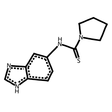 S=C(Nc1ccc2[nH]cnc2c1)N1CCCC1